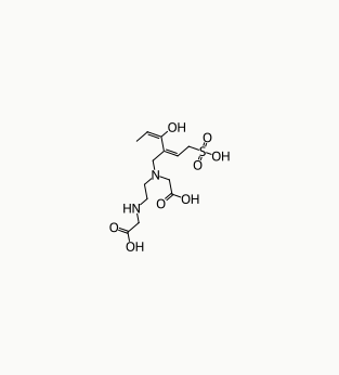 C/C=C(O)\C(=C/CS(=O)(=O)O)CN(CCNCC(=O)O)CC(=O)O